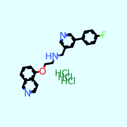 Cl.Cl.Cl.Fc1ccc(-c2cncc(CNCCOc3cccc4cnccc34)c2)cc1